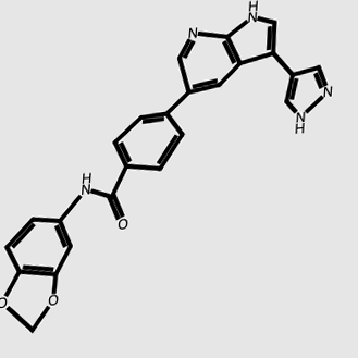 O=C(Nc1ccc2c(c1)OCO2)c1ccc(-c2cnc3[nH]cc(-c4cn[nH]c4)c3c2)cc1